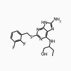 CCC(CO)Nc1nc(SCc2cccc(F)c2F)nc2[nH]c(N)nc12